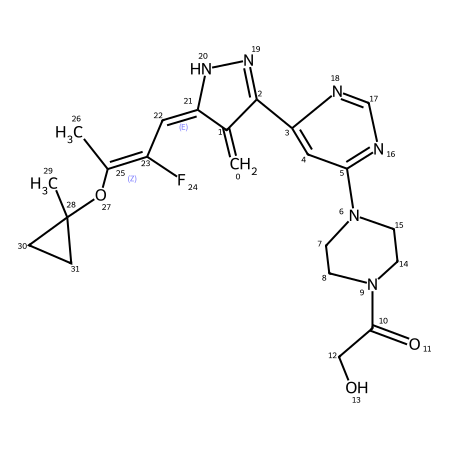 C=c1c(-c2cc(N3CCN(C(=O)CO)CC3)ncn2)n[nH]/c1=C/C(F)=C(\C)OC1(C)CC1